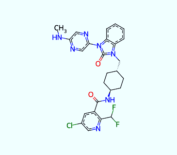 CNc1cnc(-n2c(=O)n(C[C@H]3CC[C@H](NC(=O)c4cc(Cl)cnc4C(F)F)CC3)c3ccccc32)cn1